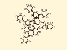 c1ccc(-c2ccc3c(c2)c2ccc4cc(-c5ccccc5)c5cccc6c5c4c2c2c4c-6cc(-c5ccccc5)cc4n(-c4nc(-c5ccccc5)cc(-c5ccccc5)n4)c32)cc1